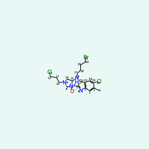 Cc1cc2nc([N+]3([O-])CN(CCCCl)CC3NCCCCBr)sc2cc1Cl